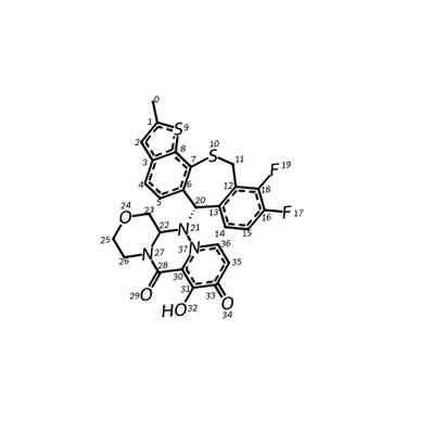 Cc1cc2ccc3c(c2s1)SCc1c(ccc(F)c1F)[C@@H]3N1C2COCCN2C(=O)c2c(O)c(=O)ccn21